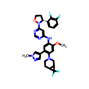 COc1cc(N2CCC3C(C2)C3(F)F)c(-c2cnn(C)c2)cc1Nc1cc(N2OCC[C@@H]2c2cccc(F)c2F)ncn1